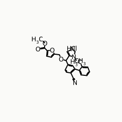 COC(=O)c1ccc(COC(c2ccc(C#N)c(-c3ccccc3C)c2)c2cncn2C)o1.Cl